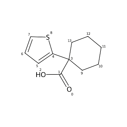 O=C(O)C1(c2cccs2)CCCCC1